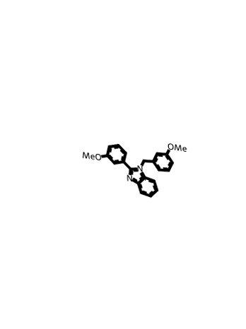 COc1cccc(Cn2c(-c3cccc(OC)c3)nc3ccccc32)c1